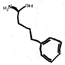 NC(O)CCCc1cc[c]cc1